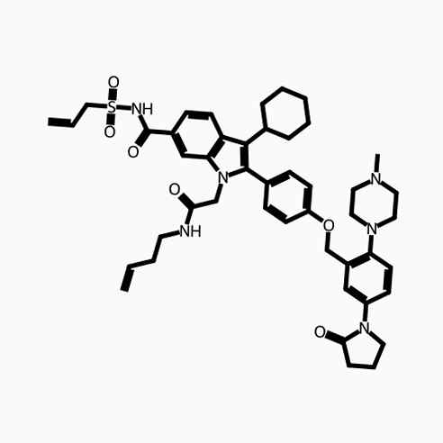 C=CCCNC(=O)Cn1c(-c2ccc(OCc3cc(N4CCCC4=O)ccc3N3CCN(C)CC3)cc2)c(C2CCCCC2)c2ccc(C(=O)NS(=O)(=O)CC=C)cc21